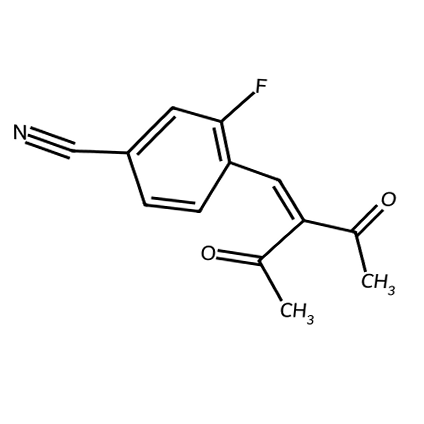 CC(=O)C(=Cc1ccc(C#N)cc1F)C(C)=O